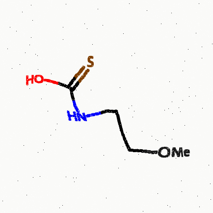 COCCNC(O)=S